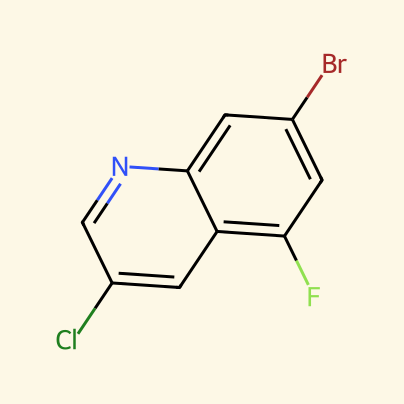 Fc1cc(Br)cc2ncc(Cl)cc12